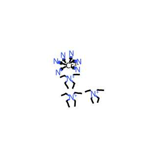 CC[N+](CC)(CC)CC.CC[N+](CC)(CC)CC.CC[N+](CC)(CC)CC.N#[C][Cr-3]([C]#N)([C]#N)([C]#N)([C]#N)[C]#N